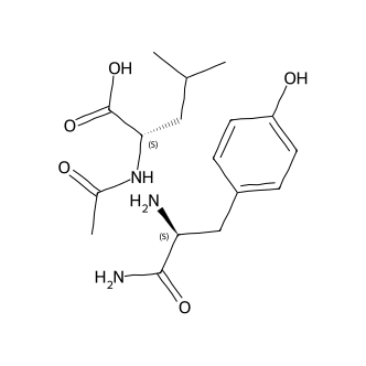 CC(=O)N[C@@H](CC(C)C)C(=O)O.NC(=O)[C@@H](N)Cc1ccc(O)cc1